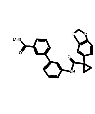 CNC(=O)c1cccc(-c2cccc(NC(=O)C3(c4ccc5c(c4)OCO5)CC3)c2)c1